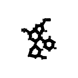 N#Cc1cccc(-c2nc(N)c3cc(C=O)nn3c2-c2ccncn2)c1